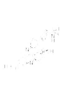 COc1ccc2c(Nc3ccc(COC(=O)NC(C)C)cc3)c3cc(OC)ccc3nc2c1